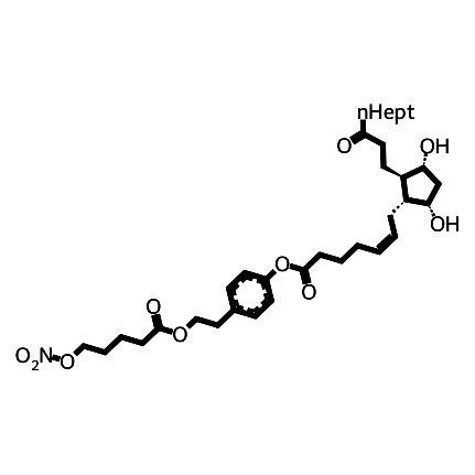 CCCCCCCC(=O)CC[C@@H]1[C@@H](C/C=C\CCCC(=O)Oc2ccc(CCOC(=O)CCCCO[N+](=O)[O-])cc2)[C@@H](O)C[C@H]1O